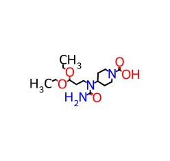 CCOC(CCN(C(N)=O)C1CCN(C(=O)O)CC1)OCC